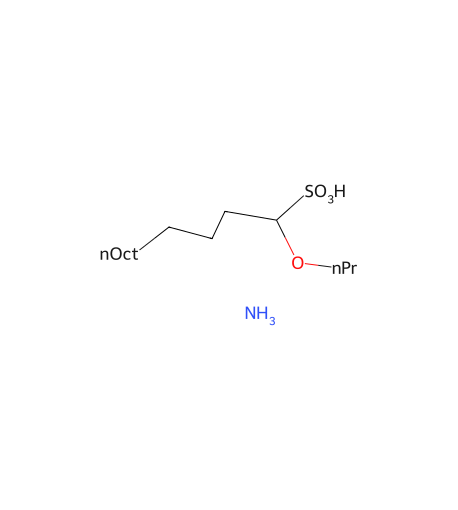 CCCCCCCCCCCC(OCCC)S(=O)(=O)O.N